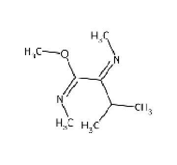 C/N=C(\C(=N/C)OC)C(C)C